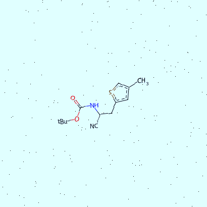 Cc1csc(CC(C#N)NC(=O)OC(C)(C)C)c1